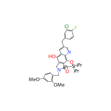 COc1ccc(CN2Cc3c(c(O[Si](C(C)C)(C(C)C)C(C)C)c4ncc(Cc5ccc(F)c(Cl)c5)cc4c3O)C2=O)c(OC)c1